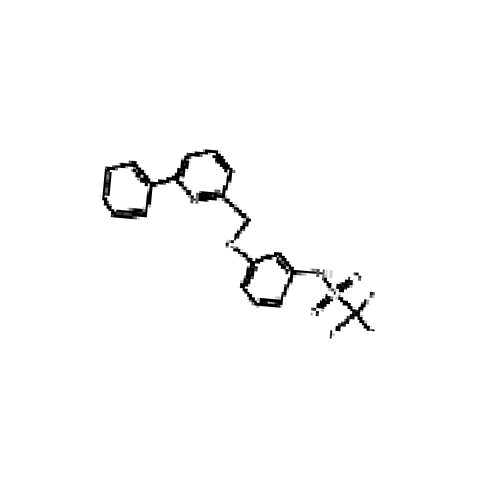 O=S(=O)(Nc1cccc(OCc2cccc(-c3ccccc3)n2)c1)C(F)(F)F